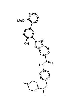 COc1ncccc1-c1ccc(O)c(-c2nc3cc(C(=O)Nc4ccc(CC(C)N5CCN(C)CC5)cc4)ccc3[nH]2)c1